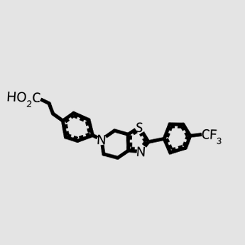 O=C(O)CCc1ccc(N2CCc3nc(-c4ccc(C(F)(F)F)cc4)sc3C2)cc1